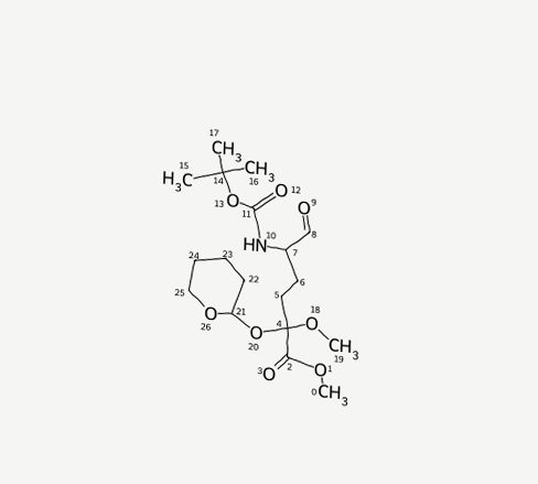 COC(=O)C(CCC(C=O)NC(=O)OC(C)(C)C)(OC)OC1CCCCO1